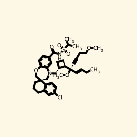 CC/C=C/[C@@](C#CCCOC)(OC)[C@@H]1CC[C@H]1CN1C[C@@]2(CCCc3cc(Cl)ccc32)COc2ccc(C(=O)NS(=O)(=O)C(C)C)cc21